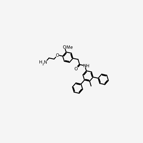 COc1cc(CC(=O)Nc2cc(-c3ccccc3)c(C)c(-c3ccccc3)c2)ccc1OCCN